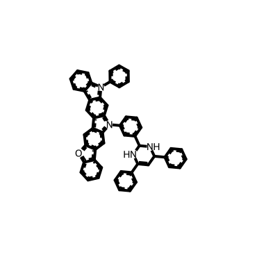 C1=C(c2ccccc2)NC(c2cccc(-n3c4cc5c(cc4c4cc6c7ccccc7n(-c7ccccc7)c6cc43)oc3ccccc35)c2)NC1c1ccccc1